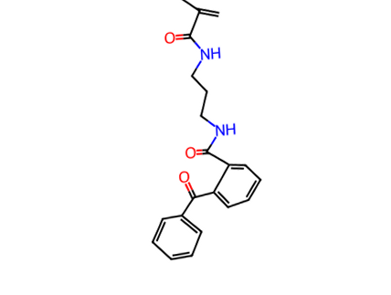 C=C(C)C(=O)NCCCNC(=O)c1ccccc1C(=O)c1ccccc1